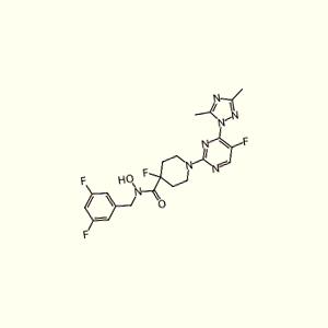 Cc1nc(C)n(-c2nc(N3CCC(F)(C(=O)N(O)Cc4cc(F)cc(F)c4)CC3)ncc2F)n1